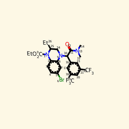 CCOC(=O)N1c2ccc(Br)cc2N(C(C(=O)N(C)C)c2cc(C(F)(F)F)cc(C(F)(F)F)c2)CC1CC